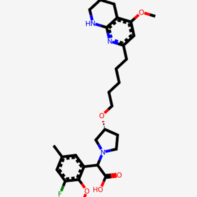 COc1cc(CCCCCO[C@@H]2CCN(C(C(=O)O)c3cc(C)cc(F)c3OC)C2)nc2c1CCCN2